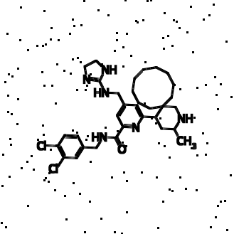 CC1CC(c2cc(CNC3=NCCN3)cc(C(=O)NCc3ccc(Cl)c(Cl)c3)n2)C2(CCCCCCCCC2)CN1